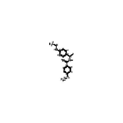 CC(NC(=O)c1ccc(OC(F)(F)F)cc1)c1ccc(OCC(F)(F)F)nc1